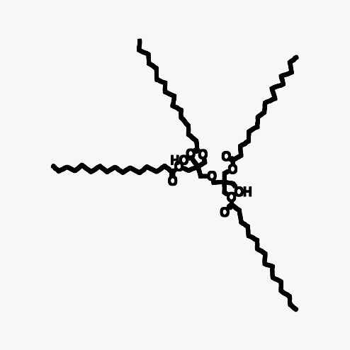 CCCCCCCCCCCCCCCC(=O)OCC(CO)(COCC(CO)(COC(=O)CCCCCCCCCCCCCCC)COC(=O)CCCCCCCCCCCCCCC)COC(=O)CCCCCCCCCCCCCCC